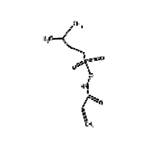 C=CC(=O)NOS(=O)(=O)CCC(C)C